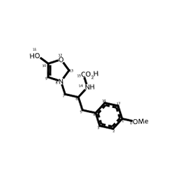 COc1ccc(CC(CN2C=C(O)OC2)NC(=O)O)cc1